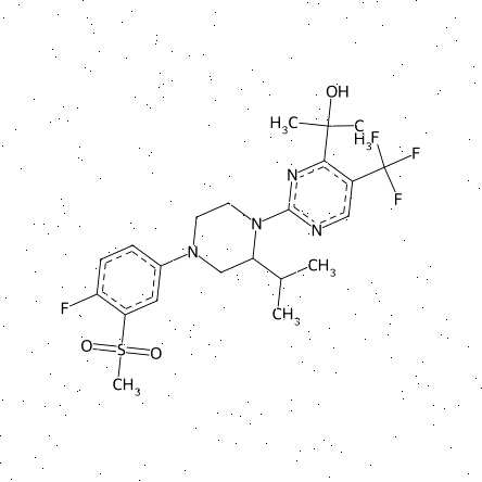 CC(C)C1CN(c2ccc(F)c(S(C)(=O)=O)c2)CCN1c1ncc(C(F)(F)F)c(C(C)(C)O)n1